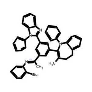 CCC(C)c1ccccc1/N=C(\C)c1cc(C2=C(C)CCc3ccccc3N2c2ccccc2)cc(-c2nc3ccccc3n2-c2ccccc2)c1